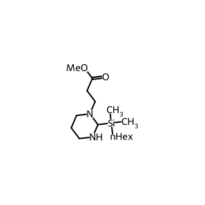 CCCCCC[Si](C)(C)C1NCCCN1CCC(=O)OC